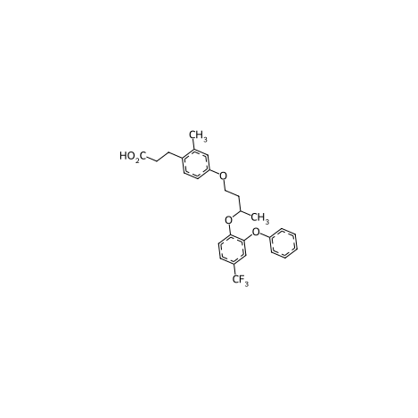 Cc1cc(OCCC(C)Oc2ccc(C(F)(F)F)cc2Oc2ccccc2)ccc1CCC(=O)O